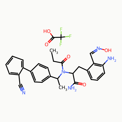 CCC(=O)N(C(Cc1cccc(N)c1/C=N\O)C(N)=O)C(C)c1ccc(-c2ccccc2C#N)cc1.O=C(O)C(F)(F)F